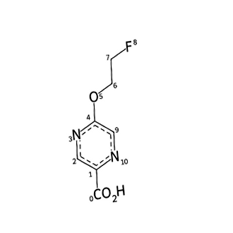 O=C(O)c1cnc(OCCF)cn1